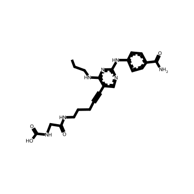 CCCNc1nc(Nc2ccc(C(N)=O)cc2)ncc1C#CCCCNC(=O)CNC(=O)O